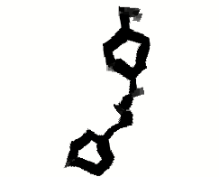 O=[N+]([O-])c1ccc(NN=Cc2ccncc2)nc1